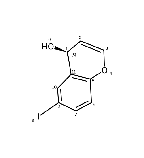 O[C@H]1C=COc2ccc(I)cc21